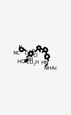 CC(=O)NCCNCc1ccc(-c2cccc(-c3cccc(COc4cc(OCc5cncc(C#N)c5)c(CN[C@@](C)(CO)C(=O)O)cc4Cl)c3C)c2C)cc1